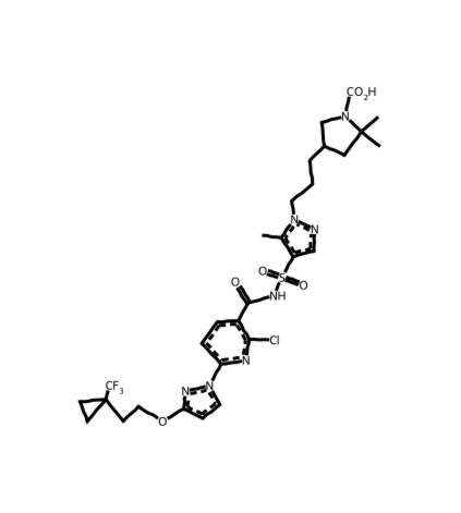 Cc1c(S(=O)(=O)NC(=O)c2ccc(-n3ccc(OCCC4(C(F)(F)F)CC4)n3)nc2Cl)cnn1CCCC1CN(C(=O)O)C(C)(C)C1